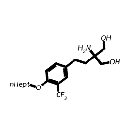 CCCCCCCOc1ccc(CCC(N)(CO)CO)cc1C(F)(F)F